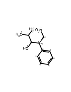 CC(O)C(O)[C@@H](C[N+](=O)[O-])c1ccccc1